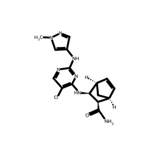 Cn1cc(Nc2ncc(Cl)c(N[C@@H]3[C@H](C(N)=O)[C@@H]4C=C[C@H]3C4)n2)cn1